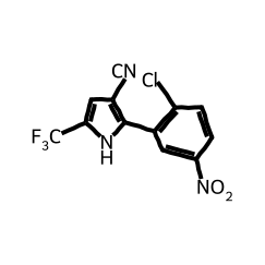 N#Cc1cc(C(F)(F)F)[nH]c1-c1cc([N+](=O)[O-])ccc1Cl